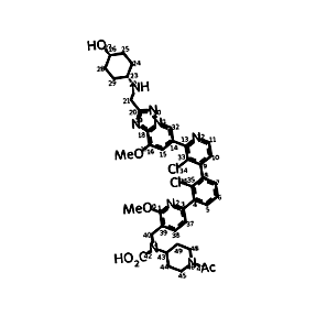 COc1nc(-c2cccc(-c3ccnc(-c4cc(OC)c5nc(CN[C@H]6CC[C@H](O)CC6)nn5c4)c3Cl)c2Cl)ccc1CN(C(=O)O)C1CCN(C(C)=O)CC1